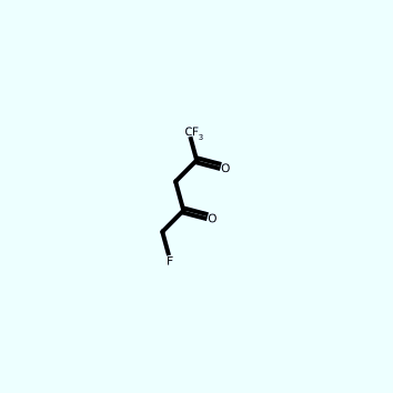 O=C(CF)CC(=O)C(F)(F)F